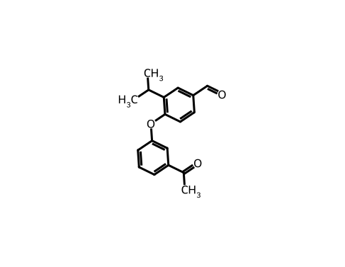 CC(=O)c1cccc(Oc2ccc(C=O)cc2C(C)C)c1